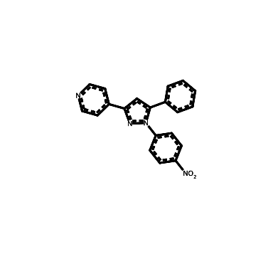 O=[N+]([O-])c1ccc(-n2nc(-c3ccncc3)cc2-c2ccccc2)cc1